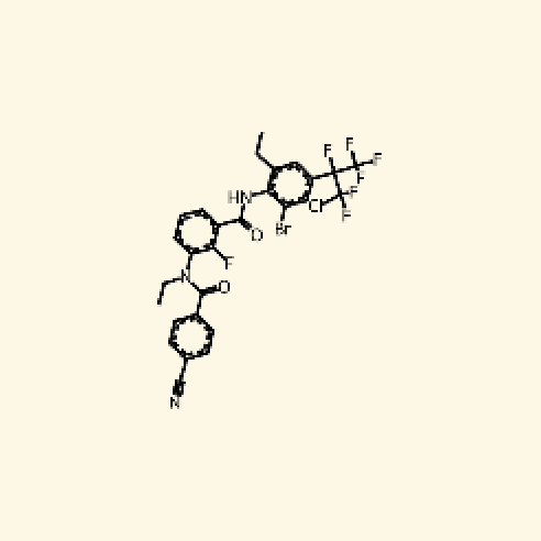 CCc1cc(C(F)(C(F)(F)F)C(F)(F)Cl)cc(Br)c1NC(=O)c1cccc(N(CC)C(=O)c2ccc(C#N)cc2)c1F